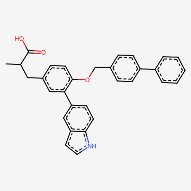 CC(Cc1ccc(OCc2ccc(-c3ccccc3)cc2)c(-c2ccc3[nH]ccc3c2)c1)C(=O)O